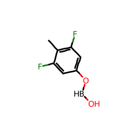 Cc1c(F)cc(OBO)cc1F